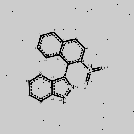 O=[SH](=O)c1ccc2ccccc2c1-c1n[nH]c2[c]cccc12